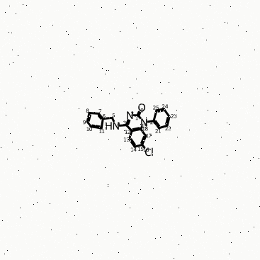 O=c1nc(NCc2ccccc2)c2ccc(Cl)cc2n1-c1ccccc1